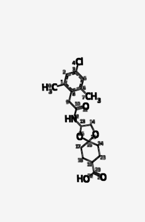 Cc1cc(Cl)cc(C)c1CC(=O)NC1COC2(CCC(C(=O)O)CC2)O1